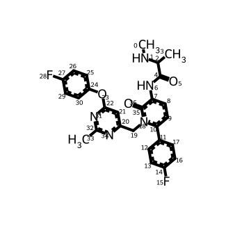 CNC(C)C(=O)Nc1ccc(-c2ccc(F)cc2)n(Cc2cc(Oc3ccc(F)cc3)nc(C)n2)c1=O